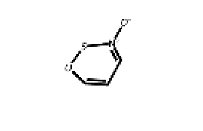 [O-][N+]1=CC=COS1